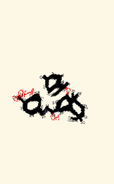 Cc1ccc(C(C)(C)Oc2cc(C(O)/C=C/c3ccc(C(=O)O)cc3)cc3c2C(C)(C)CCC3(C)C)cc1